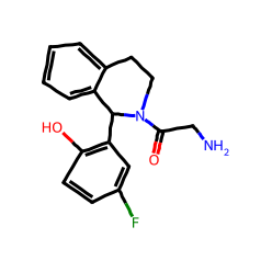 NCC(=O)N1CCc2ccccc2C1c1cc(F)ccc1O